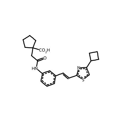 O=C(CC1(C(=O)O)CCCC1)Nc1cccc(C=Cc2nc(C3CCC3)cs2)c1